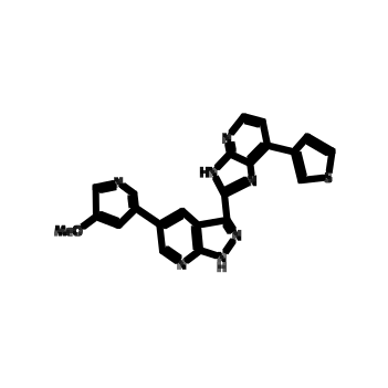 COc1cncc(-c2cnc3[nH]nc(-c4nc5c(-c6ccsc6)ccnc5[nH]4)c3c2)c1